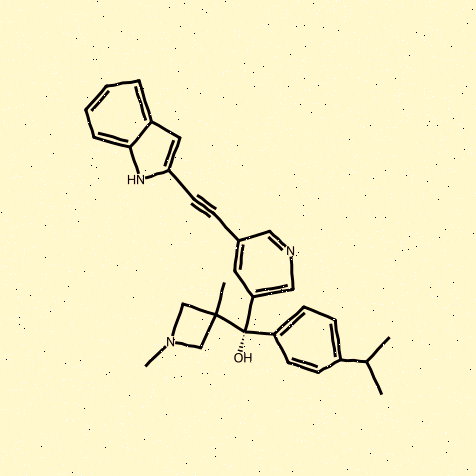 CC(C)c1ccc([C@](O)(c2cncc(C#Cc3cc4ccccc4[nH]3)c2)C2(C)CN(C)C2)cc1